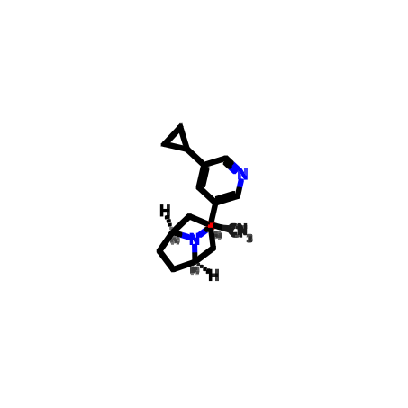 N#C[C@@]1(c2cncc(C3CC3)c2)C[C@H]2CC[C@@H](C1)N2CC(F)(F)F